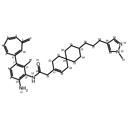 C=C1C=CC=CC(c2ccc(N)c(NC(=O)CC3=CCC4(CC3)CCC(CCCc3cnn(C)c3)CC4)c2C)=C1